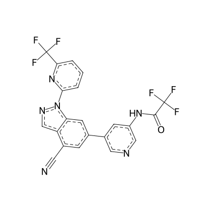 N#Cc1cc(-c2cncc(NC(=O)C(F)(F)F)c2)cc2c1cnn2-c1cccc(C(F)(F)F)n1